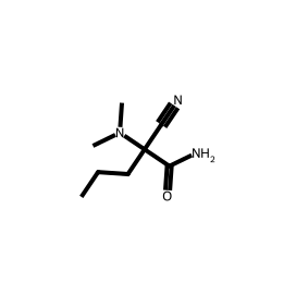 CCCC(C#N)(C(N)=O)N(C)C